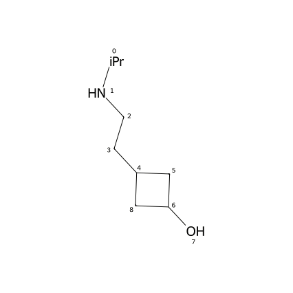 CC(C)NCCC1CC(O)C1